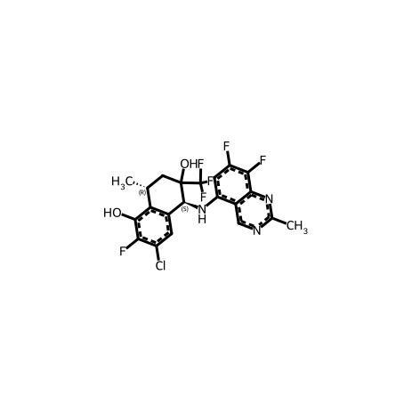 Cc1ncc2c(N[C@H]3c4cc(Cl)c(F)c(O)c4[C@H](C)CC3(O)C(F)(F)F)cc(F)c(F)c2n1